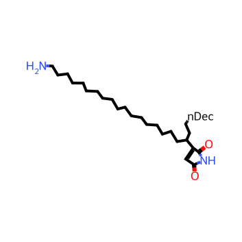 CCCCCCCCCCCCC(CCCCCCCCCCCCCCCCCCN)C1=CC(=O)NC1=O